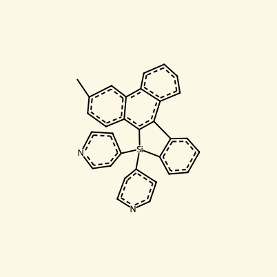 Cc1ccc2c3c(c4ccccc4c2c1)-c1ccccc1[Si]3(c1ccncc1)c1ccncc1